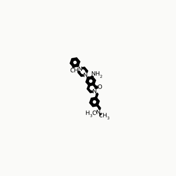 Cc1ccccc1N1CCN(c2cc3c(cc2N)C(=O)N(Cc2cccc(CN(C)C)c2)CC3)CC1